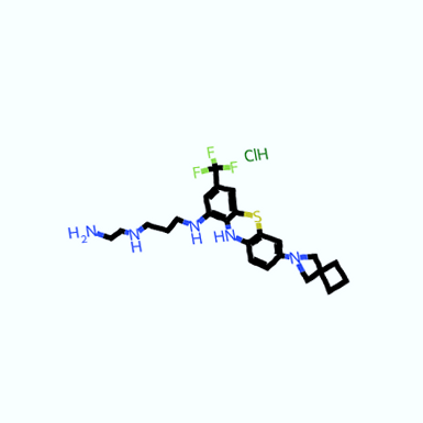 Cl.NCCNCCCNc1cc(C(F)(F)F)cc2c1Nc1ccc(N3CC4(CCC4)C3)cc1S2